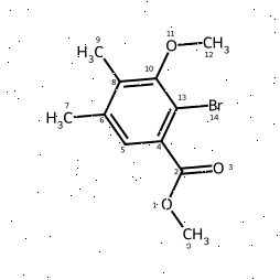 COC(=O)c1cc(C)c(C)c(OC)c1Br